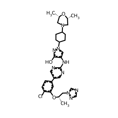 C[C@@H]1CN(C2CCC(n3cc(Nc4ncc(-c5ccc(Cl)c(O[C@@H](C)Cn6cncn6)c5)cn4)c(O)n3)CC2)C[C@H](C)O1